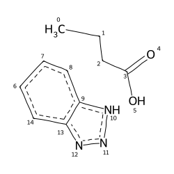 CCCC(=O)O.c1ccc2[nH]nnc2c1